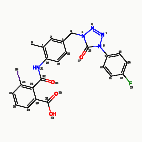 Cc1cc(Cn2nnn(-c3ccc(F)cc3)c2=O)ccc1NC(=O)c1c(I)cccc1C(=O)O